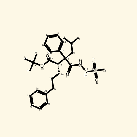 CC(C)C[C@](C(=O)NNS(C)(=O)=O)(c1ccccc1)[C@H](CCCc1ccccc1)C(=O)OC(C)(C)C